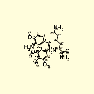 COc1ccc(/C=C\c2cc(OC)c(OC)c(OC)c2)cc1N.NCCCC[C@@H](N)C(N)=O